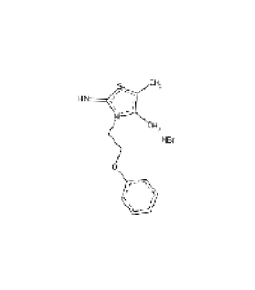 Br.Cc1sc(=N)n(CCOc2ccccc2)c1C